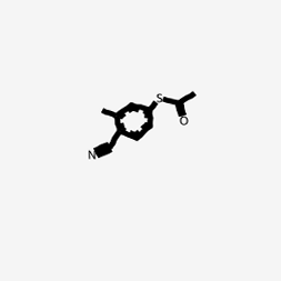 CC(=O)Sc1ccc(C#N)c(C)c1